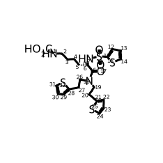 O=C(O)NCCCC[C@H](NS(=O)(=O)c1cccs1)C(=O)N(CCc1cccs1)CCc1cccs1